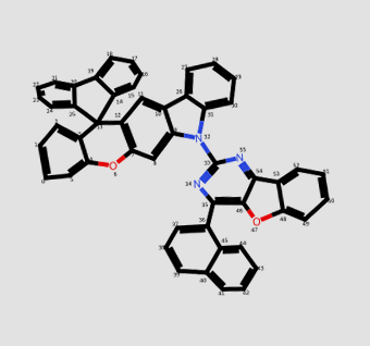 c1ccc2c(c1)Oc1cc3c(cc1C21c2ccccc2-c2ccccc21)c1ccccc1n3-c1nc(-c2cccc3ccccc23)c2oc3ccccc3c2n1